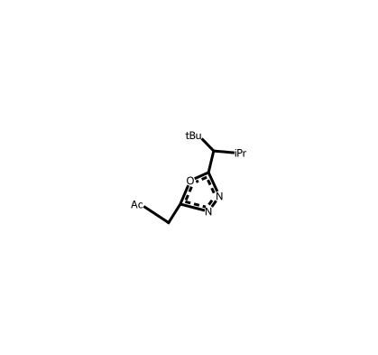 CC(=O)Cc1nnc(C(C(C)C)C(C)(C)C)o1